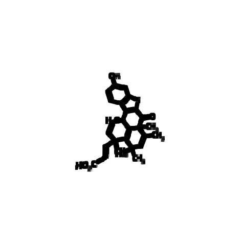 CC1=CC(C)(O)C2=C3C1(C)C(=O)c1sc4cc(O)ccc4c1C3(C)C=CC2(C)/C=C/C(=O)O